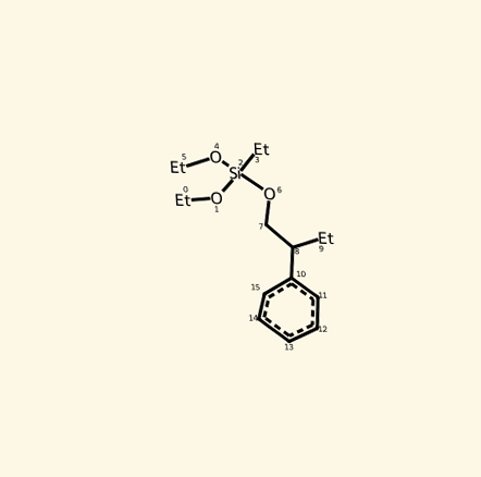 CCO[Si](CC)(OCC)OCC(CC)c1ccccc1